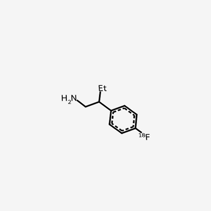 CCC(CN)c1ccc([18F])cc1